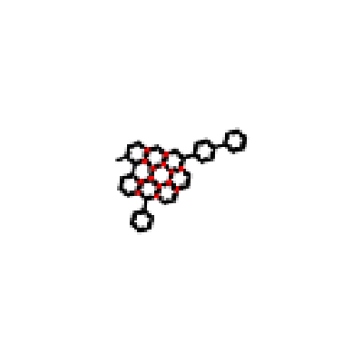 Cc1cccc(N(c2ccc(-c3ccc(-c4ccccc4)cc3)cc2)c2ccc(-c3ccccc3)cc2-c2ccccc2)c1-c1ccccc1[SiH](c1ccccc1)c1ccccc1